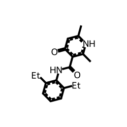 CCc1cccc(CC)c1NC(=O)c1c(C)[nH]c(C)cc1=O